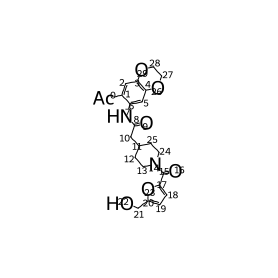 CC(=O)c1cc2c(cc1NC(=O)CC1CCN(C(=O)c3ccc(CO)o3)CC1)OCCO2